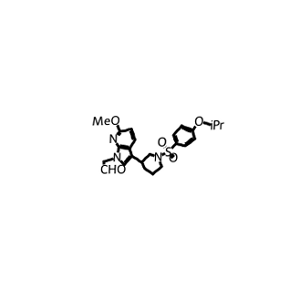 COc1ccc2c(C3CCCN(S(=O)(=O)c4ccc(OC(C)C)cc4)C3)cn(CC=O)c2n1